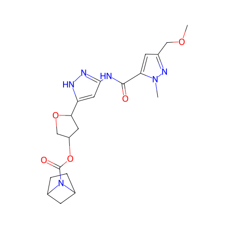 COCc1cc(C(=O)Nc2cc(C3CC(OC(=O)N4C5CCC4C5)CO3)[nH]n2)n(C)n1